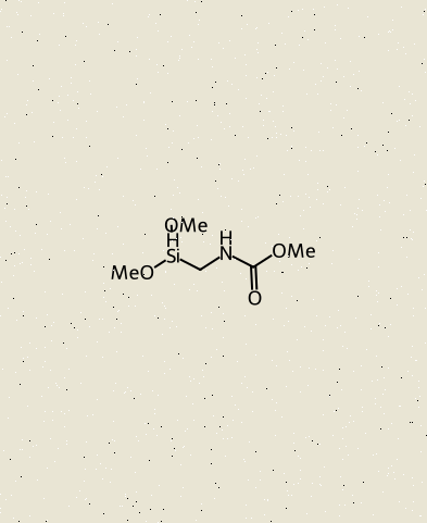 COC(=O)NC[SiH](OC)OC